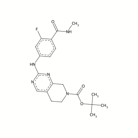 CNC(=O)c1ccc(Nc2ncc3c(n2)CN(C(=O)OC(C)(C)C)CC3)cc1F